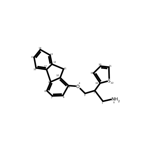 NCC(COc1cccc2c1Cc1ccccc1-2)c1cccs1